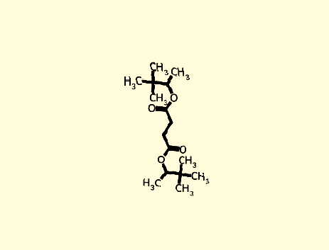 CC(OC(=O)CCC(=O)OC(C)C(C)(C)C)C(C)(C)C